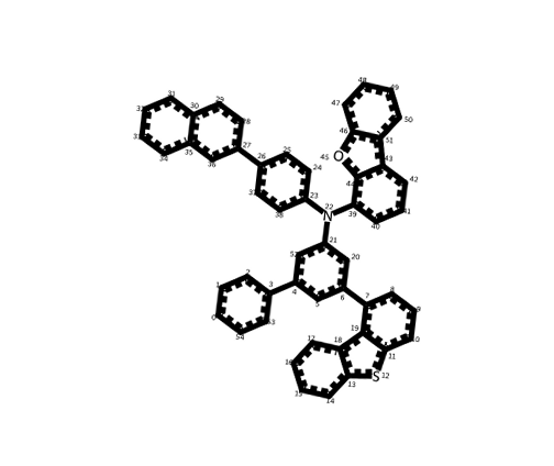 c1ccc(-c2cc(-c3cccc4sc5ccccc5c34)cc(N(c3ccc(-c4ccc5ccccc5c4)cc3)c3cccc4c3oc3ccccc34)c2)cc1